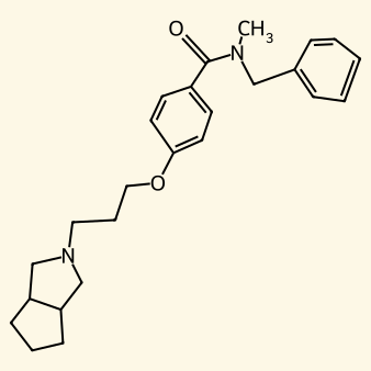 CN(Cc1ccccc1)C(=O)c1ccc(OCCCN2CC3CCCC3C2)cc1